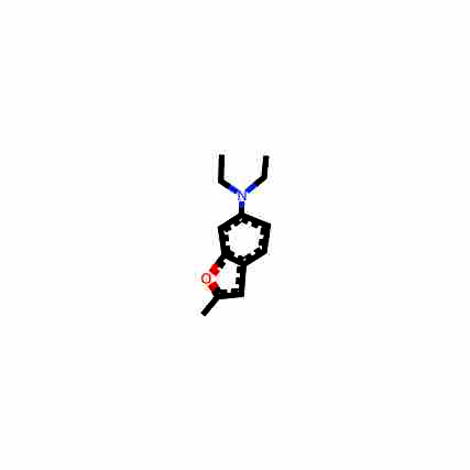 CCN(CC)c1ccc2cc(C)oc2c1